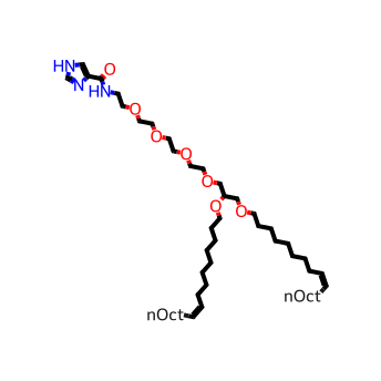 CCCCCCCC/C=C\CCCCCCCCOCC(COCCOCCOCCOCCNC(=O)c1c[nH]cn1)OCCCCCCCC/C=C\CCCCCCCC